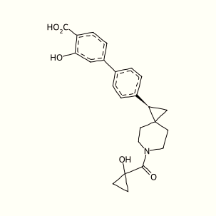 O=C(O)c1ccc(-c2ccc([C@H]3CC34CCN(C(=O)C3(O)CC3)CC4)cc2)cc1O